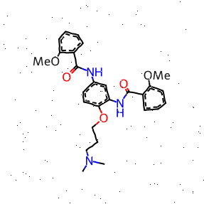 COc1ccccc1C(=O)Nc1ccc(OCCCN(C)C)c(NC(=O)c2ccccc2OC)c1